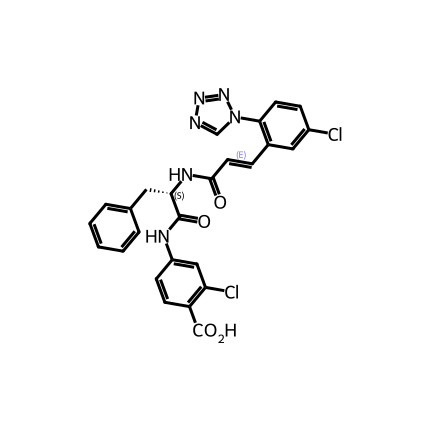 O=C(/C=C/c1cc(Cl)ccc1-n1cnnn1)N[C@@H](Cc1ccccc1)C(=O)Nc1ccc(C(=O)O)c(Cl)c1